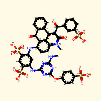 CNc1nc(Nc2cc(Nc3ccc4c5c3C(=O)c3ccccc3-c5c(C(=O)c3cccc(S(=O)(=O)O)c3)c(=O)n4C)c(S(=O)(=O)O)cc2S(=O)(=O)O)nc(Oc2ccc(S(=O)(=O)O)cc2)n1